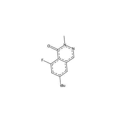 Cn1ncc2cc(C(C)(C)C)cc(F)c2c1=O